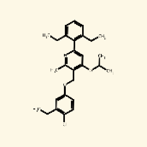 CCc1cc(OCc2c(OC(C)C)cc(-c3c(CC)cccc3CC)nc2C)ccc1Cl